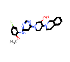 COc1ccc(F)cc1Nc1cc(N2CCC(N3CCc4ccccc4C3)C(O)C2)ncn1